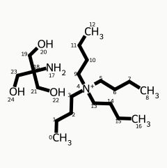 CCCC[N+](CCCC)(CCCC)CCCC.NC(CO)(CO)CO